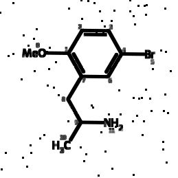 COc1ccc(Br)cc1CC(C)N